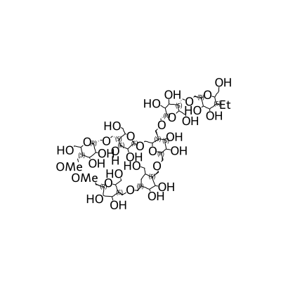 CC[C@@H]1C(CO)O[C@H](COC[C@@H]2C(CO)O[C@H](COC[C@@H]3C(CO[C@H]4OC(CO)[C@@H](COC[C@H]5OC(CO)[C@@H](COC)C(O)C5O)[C@H](O)C4O)O[C@H](COC[C@@H]4C(CO)C[C@H](COC[C@@H]5C(CO)O[C@H](COC)C(O)C5O)C(O)C4O)C(O)[C@H]3O)C(O)C2O)C(O)C1O